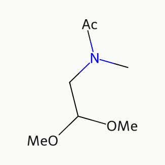 COC(CN(C)C(C)=O)OC